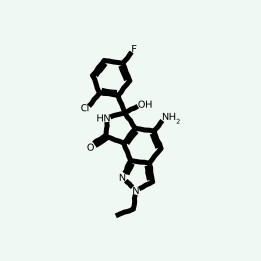 CCn1cc2cc(N)c3c(c2n1)C(=O)NC3(O)c1cc(F)ccc1Cl